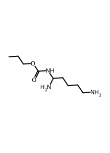 CCCOC(=O)NC(N)CCCCN